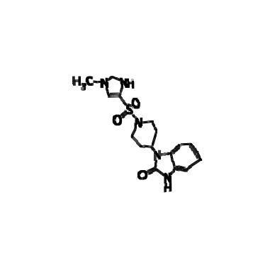 CN1C=C(S(=O)(=O)N2CCC(n3c(=O)[nH]c4ccccc43)CC2)NC1